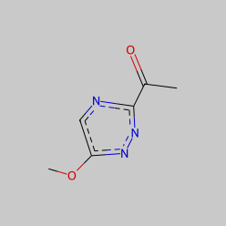 COc1cnc(C(C)=O)nn1